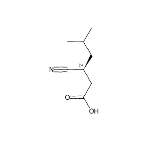 CC(C)C[C@H](C#N)CC(=O)O